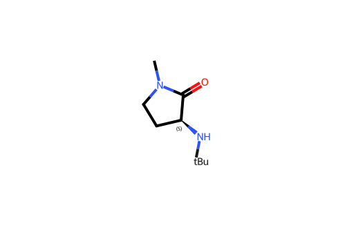 CN1CC[C@H](NC(C)(C)C)C1=O